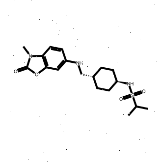 CC(C)S(=O)(=O)N[C@H]1CC[C@H](CNc2ccc3c(c2)oc(=O)n3C)CC1